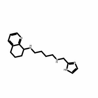 c1cnc2c(c1)CCCC2NCCCCNCc1ncc[nH]1